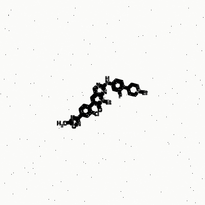 CCN1CCC(c2ccc(Nc3ncc4cc(-c5ccc(-c6noc(C)n6)cc5Cl)c(=O)n(CC)c4n3)cc2F)CC1